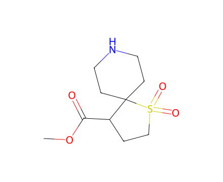 COC(=O)C1CCS(=O)(=O)C12CCNCC2